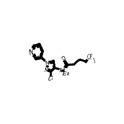 CCN(C(=O)CCCC(F)(F)F)c1cn(-c2cccnc2)nc1Cl